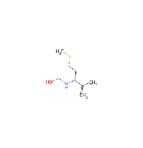 C=C(C)[C@H](CCSC)NCO